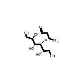 CCCC=O.OC[C@@H](O)[C@@H](O)[C@H](O)[C@@H](O)CO